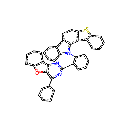 c1ccc(-c2nc(-c3ccccc3-n3c4ccccc4c4ccc5sc6ccccc6c5c43)nc3c2oc2ccccc23)cc1